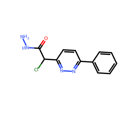 NNC(=O)C(Cl)c1ccc(-c2ccccc2)nn1